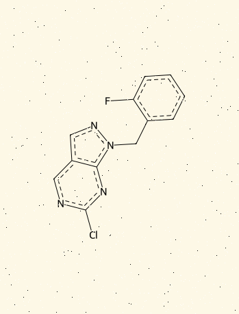 Fc1ccccc1Cn1ncc2cnc(Cl)nc21